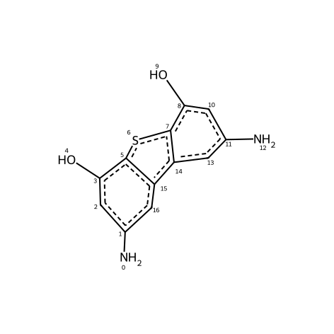 Nc1cc(O)c2sc3c(O)cc(N)cc3c2c1